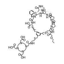 CCCOCC(=O)N[C@H]1CSCc2cc(CSCCNC(=O)CN3CCN(CC(=O)O)CCN(CC(=O)O)CCN(CC(=O)O)CC3)cc(c2)CSC[C@@H](C(=O)O)NC(=O)[C@H](Cc2ccccc2)NC(=O)[C@H](CCC(N)=O)NC(=O)[C@H]([C@@H](C)O)NC(=O)[C@@H]2CCCN2C(=O)[C@@H]2CCCN2C1=O